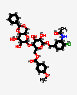 COc1ccc(C(=O)OCC2OC(OCc3ccc(Cl)c(NC(C)=O)c3)C(O)C(O)C2OC2OC3COC(c4ccccc4)OC3C(O)C2O)cc1